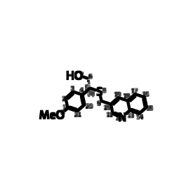 COc1ccc([C@H](CO)SCc2cnc3ccccc3c2)cc1